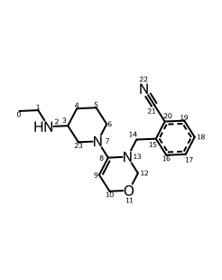 CCNC1CCCN(C2=CCOCN2Cc2ccccc2C#N)C1